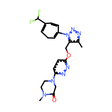 Cc1nnn(C2=CCC=C(C(F)F)C=C2)c1COc1ccc(N2CCN(C)C(=O)C2)nn1